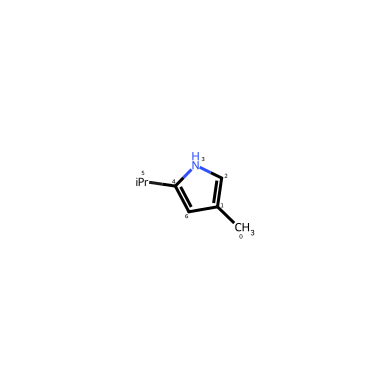 Cc1c[nH]c(C(C)C)c1